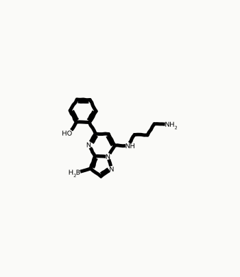 Bc1cnn2c(NCCCN)cc(-c3ccccc3O)nc12